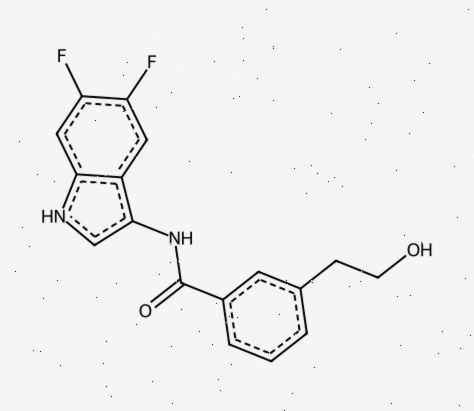 O=C(Nc1c[nH]c2cc(F)c(F)cc12)c1cccc(CCO)c1